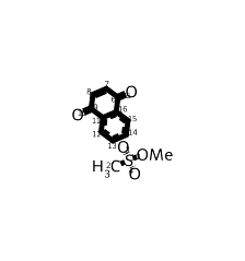 COS(C)(=O)=O.O=C1C=CC(=O)c2ccccc21